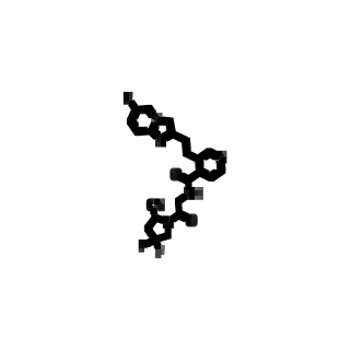 N#C[C@@H]1CC(F)(F)CN1C(=O)CNC(=O)c1ccncc1/C=C/c1cn2cc(F)ccc2n1